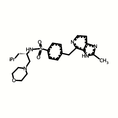 Cc1nc2ccnc(Cc3ccc(S(=O)(=O)N[C@@H](CC(C)C)CN4CCOCC4)cc3)c2[nH]1